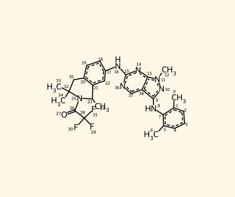 Cc1cccc(C)c1Nc1nn(C)c2nc(Nc3ccc4c(c3)C(C)N(C(=O)C(F)(F)F)C(C)(C)C4)ncc12